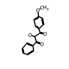 COc1ccc(C(=O)C([O])C(=O)c2ccccc2)cc1